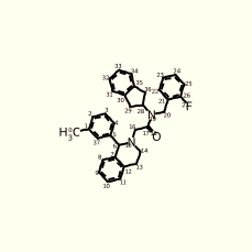 Cc1cccc(C2c3ccccc3CCN2CC(=O)N(Cc2ccccc2F)C2Cc3ccccc3C2)c1